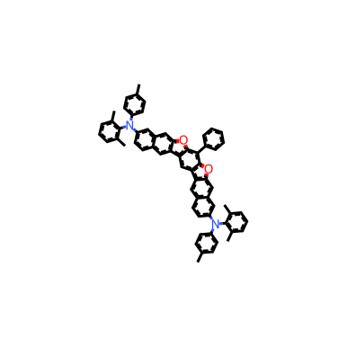 Cc1ccc(N(c2ccc3cc4c(cc3c2)oc2c(-c3ccccc3)c3oc5cc6cc(N(c7ccc(C)cc7)c7c(C)cccc7C)ccc6cc5c3cc24)c2c(C)cccc2C)cc1